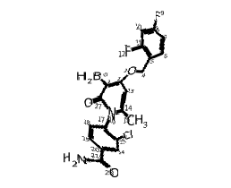 Bc1c(OCc2ccc(F)cc2F)cc(C)n(-c2ccc(C(N)=O)cc2Cl)c1=O